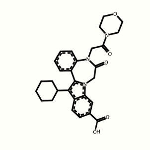 O=C(O)c1ccc2c(C3CCCCC3)c3n(c2c1)CC(=O)N(CC(=O)N1CCOCC1)c1ccccc1-3